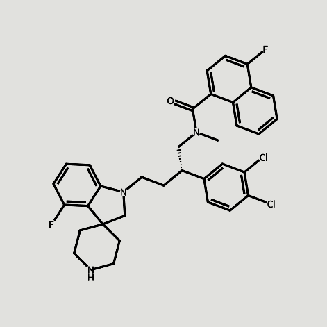 CN(C[C@@H](CCN1CC2(CCNCC2)c2c(F)cccc21)c1ccc(Cl)c(Cl)c1)C(=O)c1ccc(F)c2ccccc12